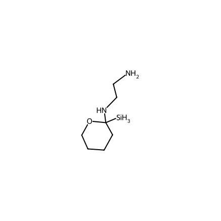 NCCNC1([SiH3])CCCCO1